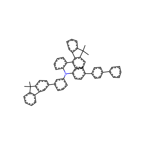 CC1(C)c2ccccc2-c2cc(-c3cccc(N(c4ccc(-c5ccc(-c6ccccc6)cc5)cc4)c4ccccc4-c4cccc5c4-c4ccccc4C5(C)C)c3)ccc21